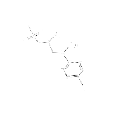 CS(=O)(=O)CC(N)CN(C(=O)O)c1ccc(Cl)cc1